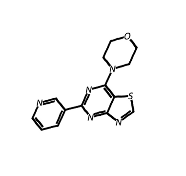 c1cncc(-c2nc(N3CCOCC3)c3scnc3n2)c1